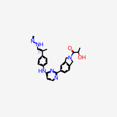 C=NN/C=C(\C)c1ccc(Nc2ccnc(-c3ccc4c(c3)CN(C(=O)C(C)O)C4)n2)cc1